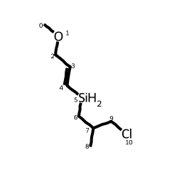 COCC=C[SiH2]CC(C)CCl